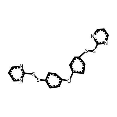 c1cnc(SSc2ccc(Oc3ccc(SSc4ncccn4)cc3)cc2)nc1